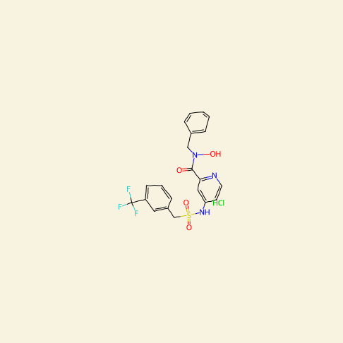 Cl.O=C(c1cc(NS(=O)(=O)Cc2cccc(C(F)(F)F)c2)ccn1)N(O)Cc1ccccc1